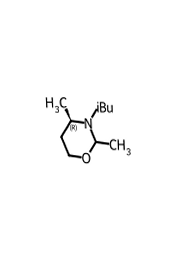 CCC(C)N1C(C)OCC[C@H]1C